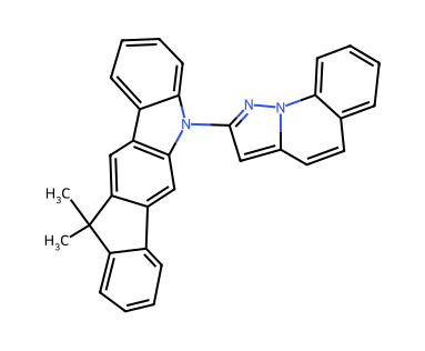 CC1(C)c2ccccc2-c2cc3c(cc21)c1ccccc1n3-c1cc2ccc3ccccc3n2n1